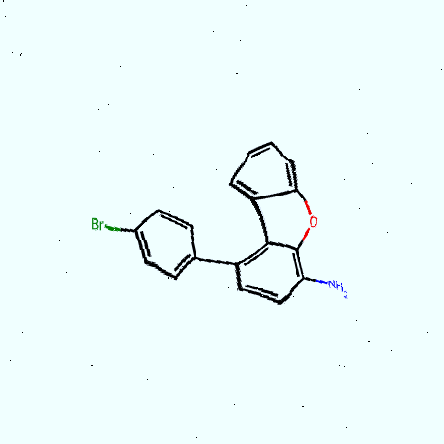 Nc1ccc(-c2ccc(Br)cc2)c2c1oc1ccccc12